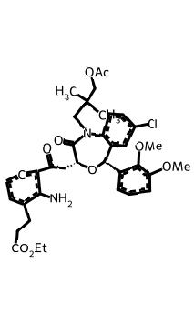 CCOC(=O)CCc1cccc(C(=O)C[C@H]2O[C@H](c3cccc(OC)c3OC)c3cc(Cl)ccc3N(CC(C)(C)COC(C)=O)C2=O)c1N